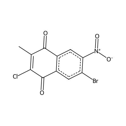 CC1=C(Cl)C(=O)c2cc(Br)c([N+](=O)[O-])cc2C1=O